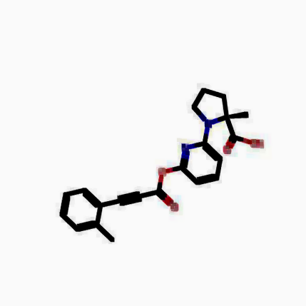 Cc1ccccc1C#CC(=O)Oc1cccc(N2CCC[C@]2(C)C(=O)O)n1